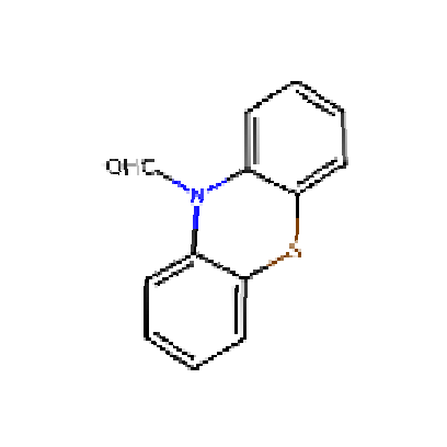 O=[C]N1c2ccccc2Sc2ccccc21